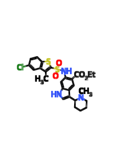 CCOC(=O)c1cc2c(C3CCCCN3C)c[nH]c2cc1NS(=O)(=O)c1sc2ccc(Cl)cc2c1C